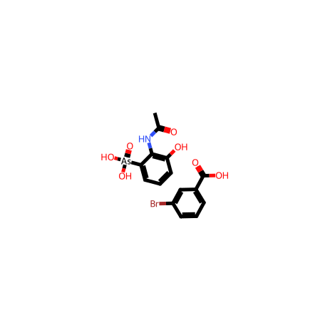 CC(=O)Nc1c(O)cccc1[As](=O)(O)O.O=C(O)c1cccc(Br)c1